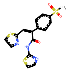 CS(=O)(=O)c1ccc(C(=Cc2nccs2)C(=O)Nc2nccs2)cc1